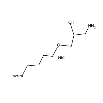 Br.CCCCCCCCCCOCC(O)CN